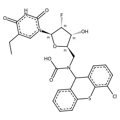 CCc1cn([C@@H]2O[C@H](CN(C(=O)O)C3c4ccccc4Sc4c(Cl)cccc43)[C@@H](O)[C@H]2F)c(=O)[nH]c1=O